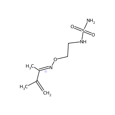 C=C(C)/C(C)=N/OCCNS(N)(=O)=O